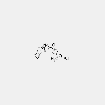 C#CCOC(C)C1CCN(C(=O)c2cnc(NC3Cc4ccccc4C3)nc2)CC1